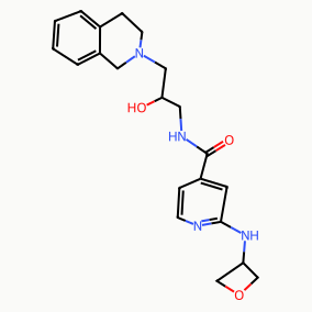 O=C(NCC(O)CN1CCc2ccccc2C1)c1ccnc(NC2COC2)c1